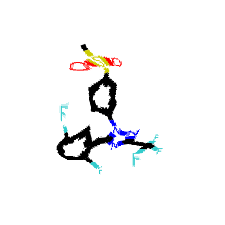 CS(=O)(=O)c1ccc(-n2nc(C(F)(F)F)nc2-c2cc(F)ccc2F)cc1